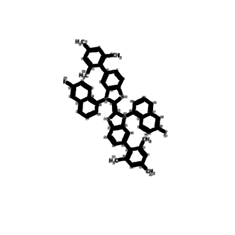 Cc1cc(C)c(-c2ccc3c(c2)N(c2cccc4cc(F)ccc24)/C(=C2\Sc4ccc(-c5c(C)cc(C)cc5C)cc4N2c2cccc4cc(F)ccc24)S3)c(C)c1